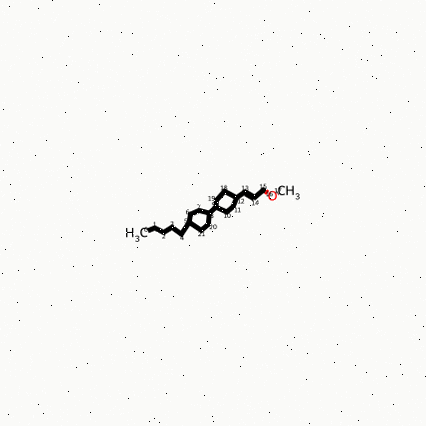 CCCCCC1CCC(C2CCC(C=CCOC)CC2)CC1